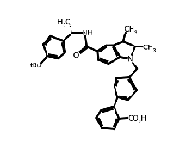 CC1c2cc(C(=O)N[C@@H](C)c3ccc(C(C)(C)C)cc3)ccc2N(Cc2ccc(-c3ccccc3C(=O)O)cc2)C1C